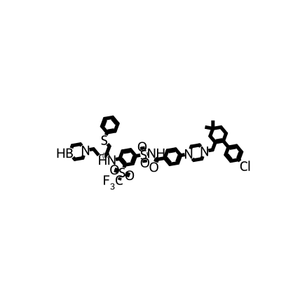 CC1(C)CCC(c2ccc(Cl)cc2)=C(CN2CCN(c3ccc(C(=O)NS(=O)(=O)c4ccc(N[C@H](CCN5CCBCC5)CSc5ccccc5)c(S(=O)(=O)C(F)(F)F)c4)cc3)CC2)C1